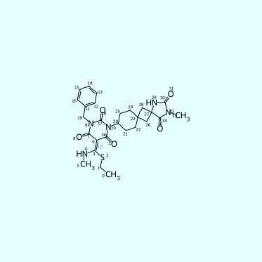 CCS/C(NC)=C1/C(=O)N(Cc2ccccc2)C(=O)N(C2CCC3(CC2)CC2(C3)NC(=O)N(C)C2=O)C1=O